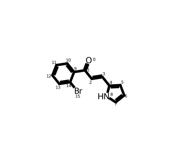 O=C(/C=C/c1ccc[nH]1)c1ccccc1Br